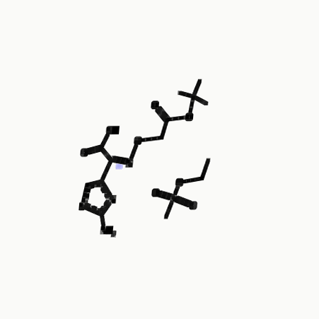 CC(C)(C)OC(=O)CO/N=C(\C(=O)O)c1csc(N)n1.CCOS(C)(=O)=O